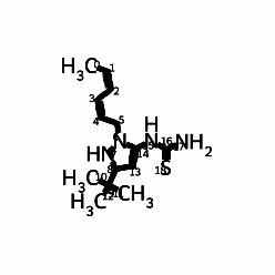 C/C=C\C=C/CN1NC(C(C)(C)C)C=C1NC(N)=S